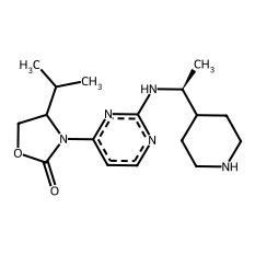 CC(C)C1COC(=O)N1c1ccnc(N[C@@H](C)C2CCNCC2)n1